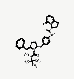 CC(C)(C)OC(=O)N1[C@H](Cc2ccc(NC(=O)[C@H]3CCc4cccc(=O)n43)cc2)CC[C@@H]1[C@H](O)c1ccccc1